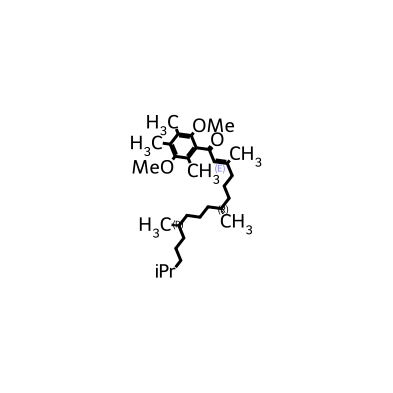 COc1c(C)c(C)c(OC)c(C(=O)/C=C(\C)CCC[C@H](C)CCC[C@H](C)CCCC(C)C)c1C